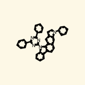 c1ccc(-c2nc(-c3ccccc3)nc(-n3c4ccccc4c4ccc5cc6c(ccn6-c6ccccc6)cc5c43)n2)cc1